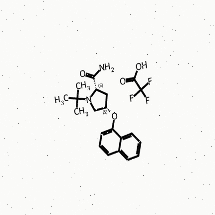 CC(C)(C)N1C[C@@H](Oc2cccc3ccccc23)C[C@H]1C(N)=O.O=C(O)C(F)(F)F